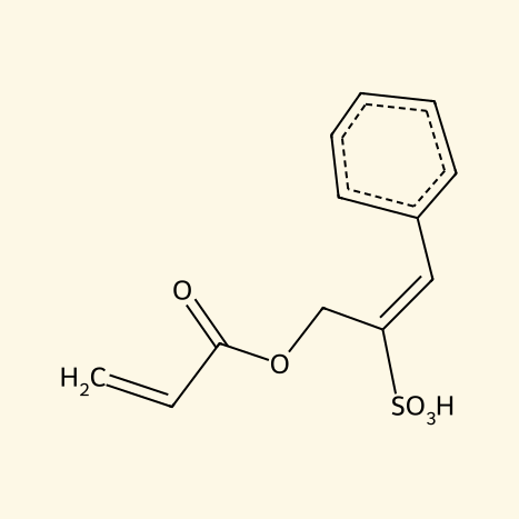 C=CC(=O)OCC(=Cc1ccccc1)S(=O)(=O)O